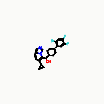 O[C@H](c1c(C2CC2)ccc2cncn12)[C@H]1CC[C@H](c2cc(F)c(F)cc2F)CC1